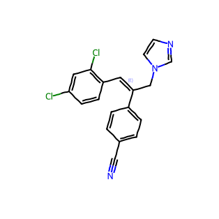 N#Cc1ccc(/C(=C\c2ccc(Cl)cc2Cl)Cn2ccnc2)cc1